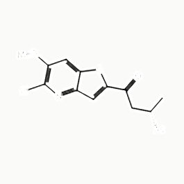 COc1cc2sc(C(=O)C[C@H](C)C(C)=O)cc2nc1Cl